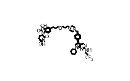 Cn1c(=O)n([C@H]2CCC(=O)NC2=O)c2ccc(CCCOCCCN3CCN(Cc4ccc(-c5cn(C6CCCCC6)c6nc(NCCC(F)(F)F)ncc56)cc4)CC3)cc21